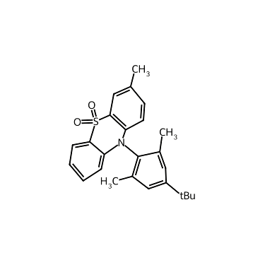 Cc1ccc2c(c1)S(=O)(=O)c1ccccc1N2c1c(C)cc(C(C)(C)C)cc1C